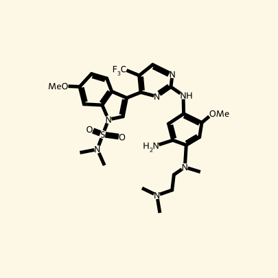 COc1ccc2c(-c3nc(Nc4cc(N)c(N(C)CCN(C)C)cc4OC)ncc3C(F)(F)F)cn(S(=O)(=O)N(C)C)c2c1